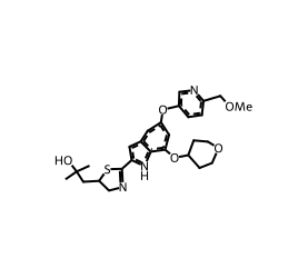 COCc1ccc(Oc2cc(OC3CCOCC3)c3[nH]c(C4=NCC(CC(C)(C)O)S4)cc3c2)cn1